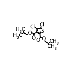 CC(C)COC(=O)c1sc(Cl)c(Cl)c1C(=O)OCC(C)C